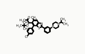 CC(=O)[C@@H](OC(C)(C)C)c1c(C)cc2nc(-c3cccc(N4CCN(C(C)C)CC4)c3)sc2c1-c1ccc(Cl)cc1